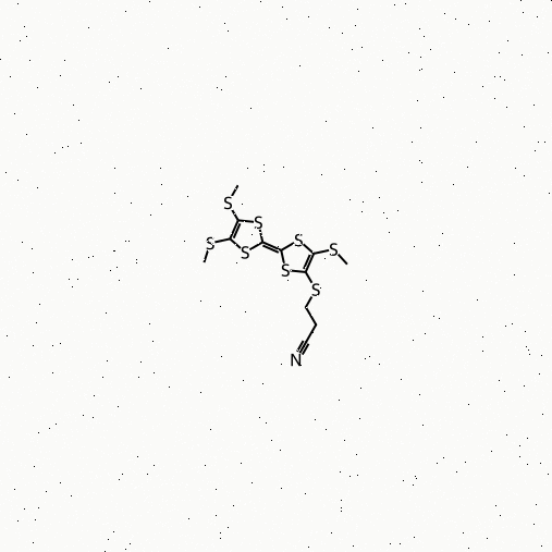 CSC1=C(SC)SC(=C2SC(SC)=C(SCCC#N)S2)S1